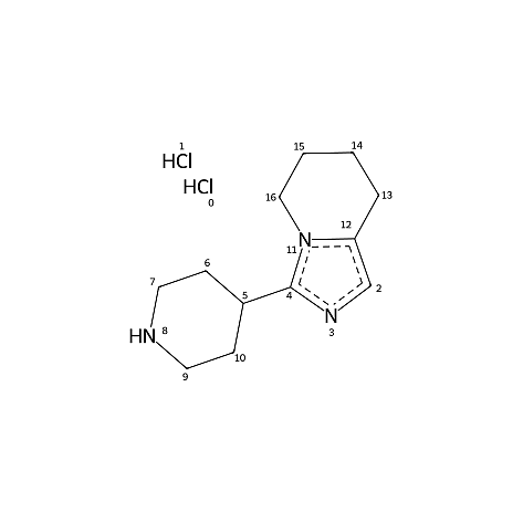 Cl.Cl.c1nc(C2CCNCC2)n2c1CCCC2